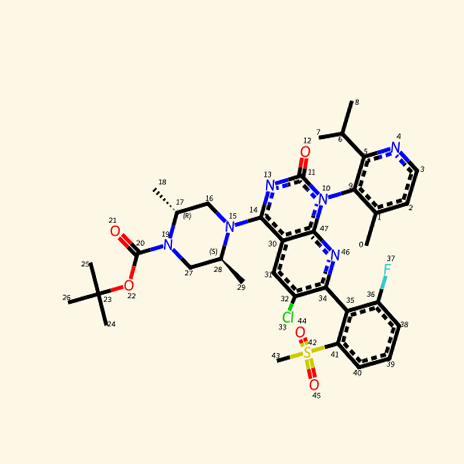 Cc1ccnc(C(C)C)c1-n1c(=O)nc(N2C[C@@H](C)N(C(=O)OC(C)(C)C)C[C@@H]2C)c2cc(Cl)c(-c3c(F)cccc3S(C)(=O)=O)nc21